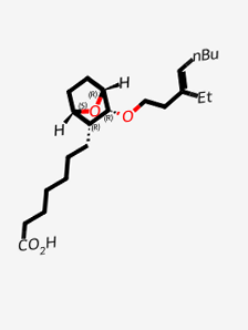 CCCCC=C(CC)CCO[C@@H]1[C@H](CCCCCCC(=O)O)[C@@H]2CC[C@H]1O2